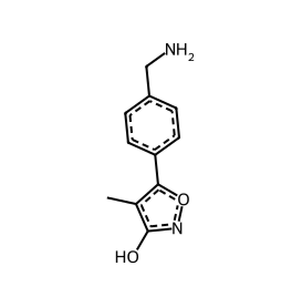 Cc1c(O)noc1-c1ccc(CN)cc1